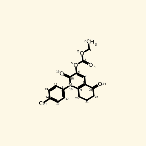 CCOC(=O)Oc1cc2c(n(-c3ccc(Cl)cc3)c1=O)CCCC2=O